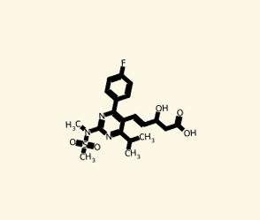 CC(C)c1nc(N(C)S(C)(=O)=O)nc(-c2ccc(F)cc2)c1/C=C/C(O)CC(=O)O